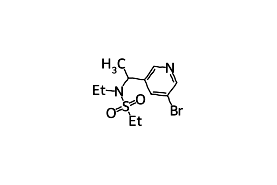 CCN(C(C)c1cncc(Br)c1)S(=O)(=O)CC